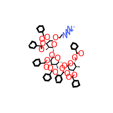 C[C@H]1[C@H](OC(=O)c2ccccc2)[C@@H](OC(=O)c2ccccc2)[C@H](OC[C@H]2O[C@@H](OC[C@H]3O[C@@H](OCCN=[N+]=[N-])[C@H](OC(=O)c4ccccc4)[C@@H](OC(=O)c4ccccc4)[C@@H]3C)[C@H](OC(=O)c3ccccc3)[C@@H](OC(=O)c3ccccc3)[C@@H]2C)O[C@@H]1COC(=O)c1ccccc1